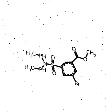 COC(=O)c1cc(Br)cc(S(=O)(=O)N(PC)PC)c1